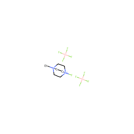 CC[N+]12CC[N+](F)(CC1)CC2.F[B-](F)(F)F.F[B-](F)(F)F